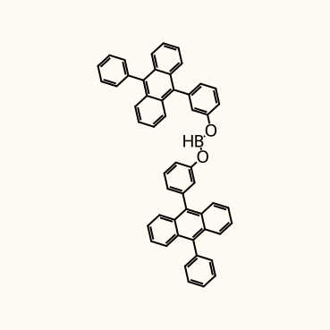 B(Oc1cccc(-c2c3ccccc3c(-c3ccccc3)c3ccccc23)c1)Oc1cccc(-c2c3ccccc3c(-c3ccccc3)c3ccccc23)c1